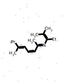 CCC(/N=C(C)/C=C\C=C(/C)C(C)C)=C(C)C